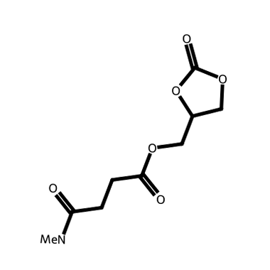 CNC(=O)CCC(=O)OCC1COC(=O)O1